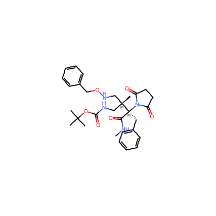 CNC(=O)[C@](Cc1ccccc1)(N1C(=O)CCC1=O)[C@@](C)(CNOCc1ccccc1)CNC(=O)OC(C)(C)C